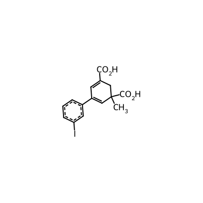 CC1(C(=O)O)C=C(c2cccc(I)c2)C=C(C(=O)O)C1